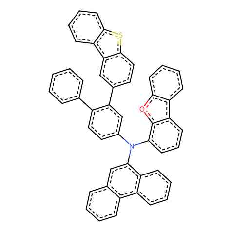 c1ccc(-c2ccc(N(c3cc4ccccc4c4ccccc34)c3cccc4c3oc3ccccc34)cc2-c2ccc3sc4ccccc4c3c2)cc1